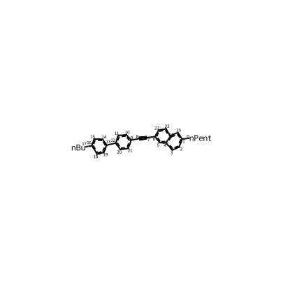 CCCCCc1ccc2cc(C#Cc3ccc(-c4ccc(CCCC)cc4)cc3)ccc2c1